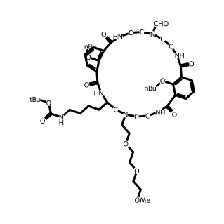 CCCCOc1c2cccc1C(=O)NCCN(CCOCCOCCOC)CC(CCCCNC(=O)OC(C)(C)C)NC(=O)c1cccc(c1OCCCC)C(=O)NCCN(C=O)CCNC2=O